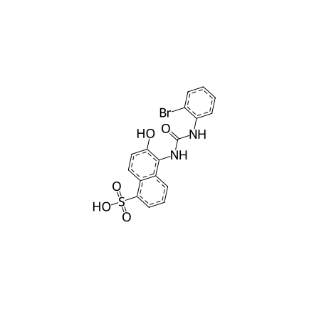 O=C(Nc1ccccc1Br)Nc1c(O)ccc2c(S(=O)(=O)O)cccc12